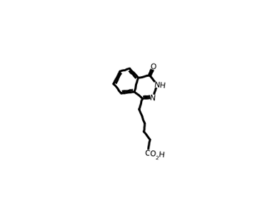 O=C(O)CCCCc1n[nH]c(=O)c2ccccc12